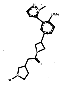 COc1ccc(C2CN(C(=O)CC3CCN(C#N)C3)C2)cc1-c1ccnn1C